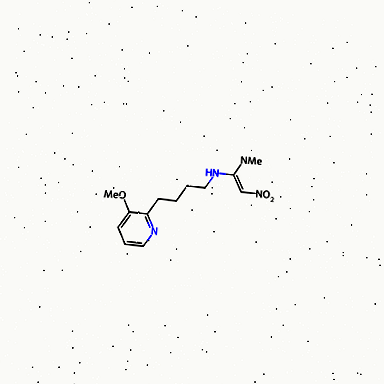 CNC(=C[N+](=O)[O-])NCCCCc1ncccc1OC